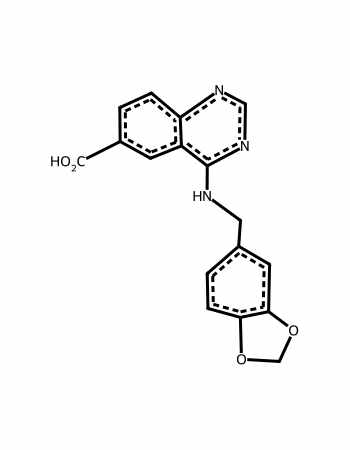 O=C(O)c1ccc2ncnc(NCc3ccc4c(c3)OCO4)c2c1